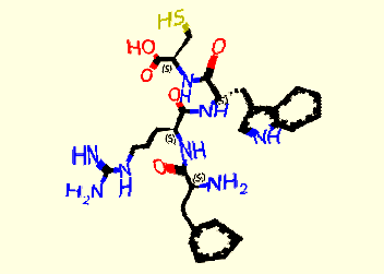 N=C(N)NCCC[C@H](NC(=O)[C@@H](N)Cc1ccccc1)C(=O)N[C@@H](Cc1c[nH]c2ccccc12)C(=O)N[C@H](CS)C(=O)O